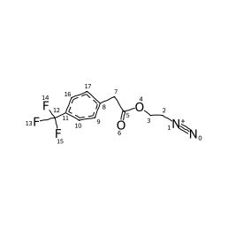 N#[N+]CCOC(=O)Cc1ccc(C(F)(F)F)cc1